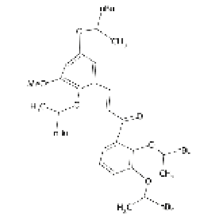 CCCCC(C)Oc1cc(C=CC(=O)c2cccc(OC(C)CCCC)c2OC(C)CCCC)c(OC(C)CCCC)c(OC)c1